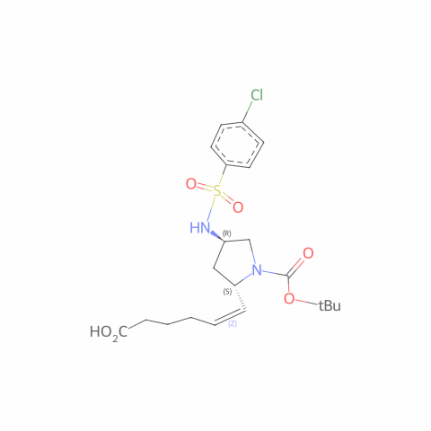 CC(C)(C)OC(=O)N1C[C@H](NS(=O)(=O)c2ccc(Cl)cc2)C[C@H]1/C=C\CCCC(=O)O